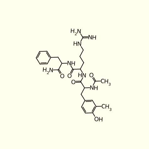 CC(=O)NC(Cc1ccc(O)c(C)c1)C(=O)NC(CCCNC(=N)N)C(=O)NC(Cc1ccccc1)C(N)=O